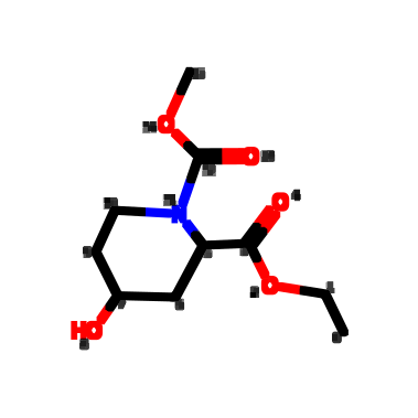 CCOC(=O)C1CC(O)CCN1C(=O)OC